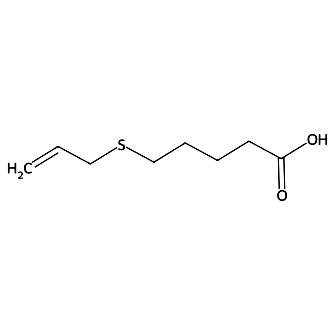 C=CCSCCCCC(=O)O